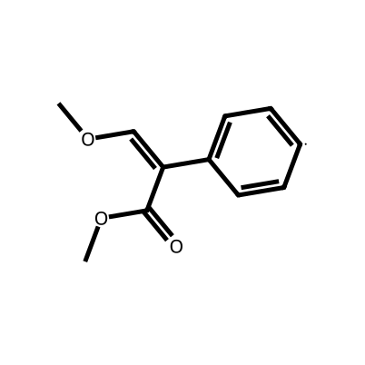 COC=C(C(=O)OC)c1cc[c]cc1